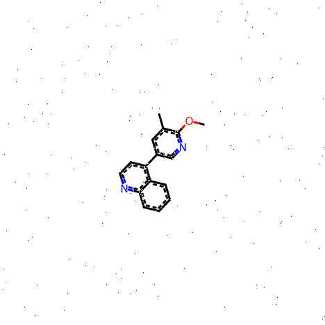 COc1ncc(-c2ccnc3ccccc23)cc1C